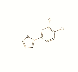 Clc1ccc(-c2cccs2)cc1Cl